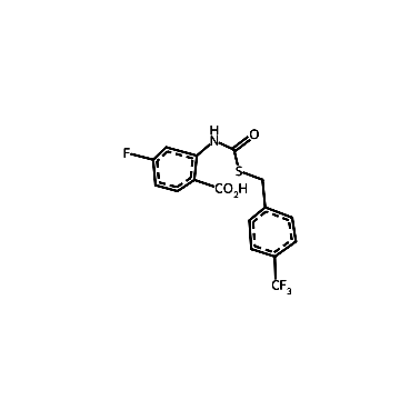 O=C(Nc1cc(F)ccc1C(=O)O)SCc1ccc(C(F)(F)F)cc1